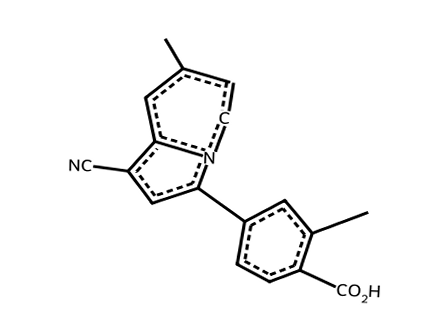 Cc1ccn2c(-c3ccc(C(=O)O)c(C)c3)cc(C#N)c2c1